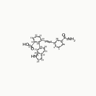 NC(=O)c1cccc(C#Cc2cccc(C(=O)O)c2-c2ccc3cc[nH]c3c2)c1